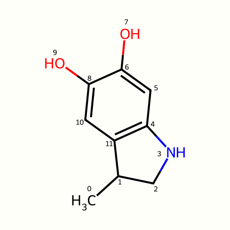 CC1CNc2cc(O)c(O)cc21